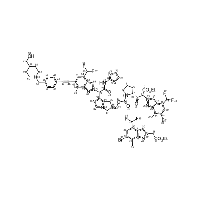 CCOC(=O)C(C(=O)[C@H]1CCCN1C(=O)OC(C)(C)C)n1cc2c(C(F)F)cc(Br)c(C)c2n1.CCOC(=O)Cn1cc2c(C(F)F)cc(Br)c(C)c2n1.Cc1c(C#Cc2ccc(CN3CCC(CO)CC3)cc2)cc(C(F)F)c2cn(C(C(=O)Nc3nccs3)c3ncn4c3CCC4)nc12